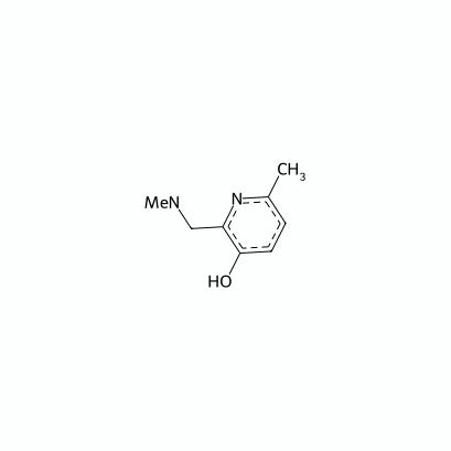 CNCc1nc(C)ccc1O